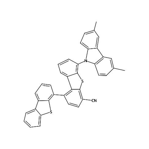 Cc1ccc2c(c1)c1cc(C)ccc1n2-c1cccc2c1sc1c(C#N)ccc(-c3cccc4c3sc3ccccc34)c12